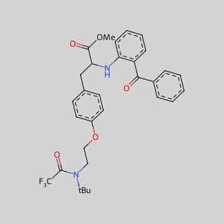 COC(=O)C(Cc1ccc(OCCN(C(=O)C(F)(F)F)C(C)(C)C)cc1)Nc1ccccc1C(=O)c1ccccc1